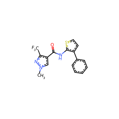 Cn1cc(C(=O)Nc2sccc2-c2ccccc2)c(C(F)(F)F)n1